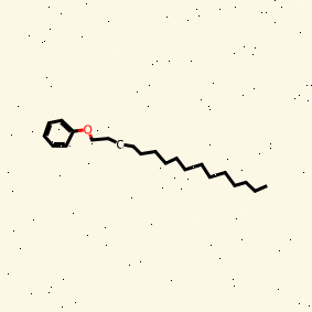 CCCCCCCCCCCCCCCCOc1[c]cccc1